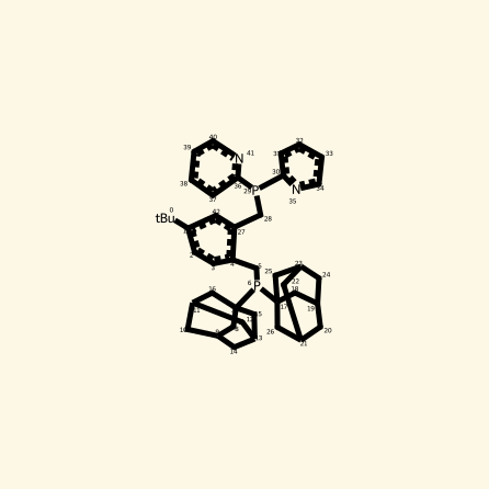 CC(C)(C)c1ccc(CP(C23CC4CC(CC(C4)C2)C3)C23CC4CC(CC(C4)C2)C3)c(CP(c2ccccn2)c2ccccn2)c1